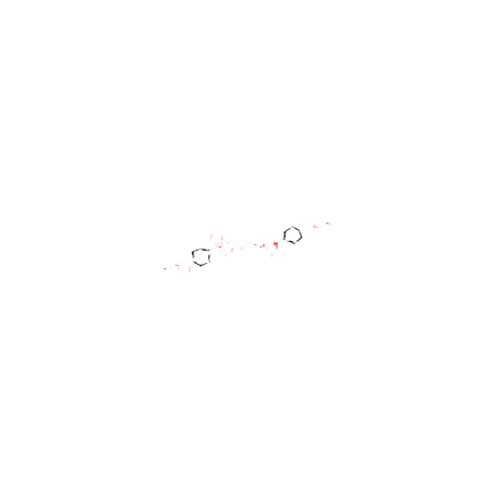 CCCOc1ccc(C(=O)OCCCCOC(=O)c2ccc(OCCC)cc2)cc1